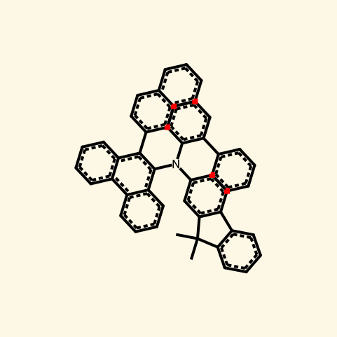 CC1(C)c2ccccc2-c2ccc(N(c3ccccc3-c3ccccc3)c3c(-c4ccc5ccccc5c4)c4ccccc4c4ccccc34)cc21